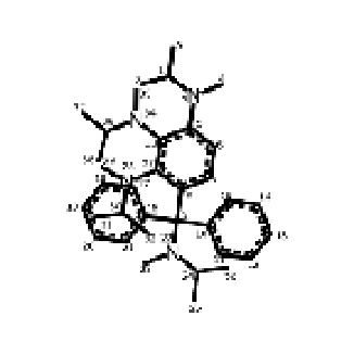 CC(C)N(C)c1ccc(C(c2ccccc2)(c2ccccc2)N(C)C(C)C)c(N(C)C(C)C)c1N(C)C(C)C